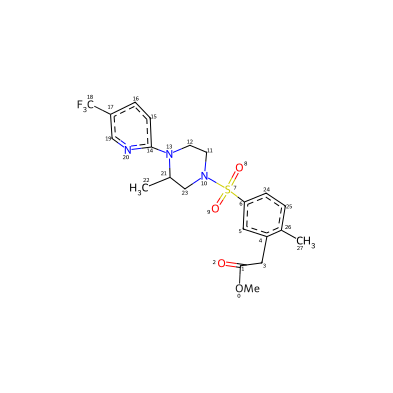 COC(=O)Cc1cc(S(=O)(=O)N2CCN(c3ccc(C(F)(F)F)cn3)C(C)C2)ccc1C